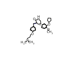 COc1ccc([C@H]2CNC(=O)/C(=C/c3ccc(OCCCN(C)C)cc3)C2)cc1OC1CCCC1